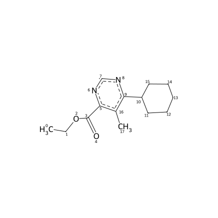 CCOC(=O)c1n[c]nc(C2CCCCC2)c1C